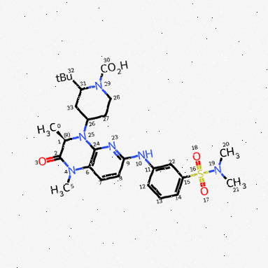 C[C@@H]1C(=O)N(C)c2ccc(Nc3cccc(S(=O)(=O)N(C)C)c3)nc2N1C1CCN(C(=O)O)C(C(C)(C)C)C1